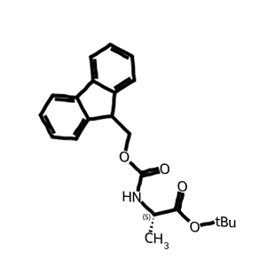 C[C@H](NC(=O)OCC1c2ccccc2-c2ccccc21)C(=O)OC(C)(C)C